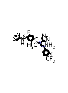 C/C(Oc1cc(F)c(SNc2cscn2)cc1F)=C(\C=C(/N)c1ccc(C(F)(F)F)c(F)c1)c1cncnc1